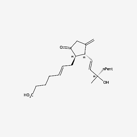 C=C1CC(=O)[C@H](CC=CCCCC(=O)O)[C@H]1C=C[C@](C)(O)CCCCC